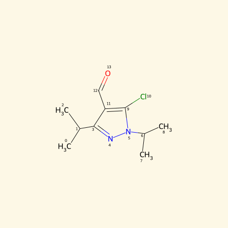 CC(C)c1nn(C(C)C)c(Cl)c1C=O